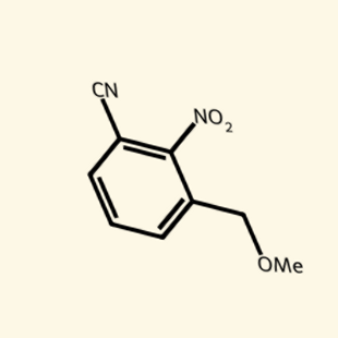 COCc1cccc(C#N)c1[N+](=O)[O-]